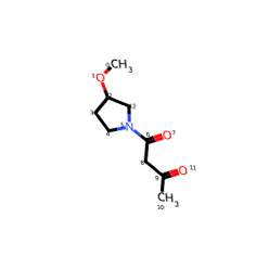 COC1CCN(C(=O)CC(C)=O)C1